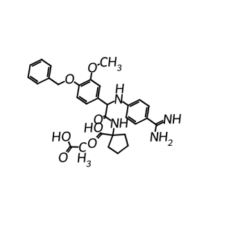 CC(=O)O.COc1cc(C(Nc2ccc(C(=N)N)cc2)C(=O)NC2(C(=O)O)CCCC2)ccc1OCc1ccccc1